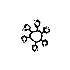 c1cncc(C2CC(c3cccnc3)CC(c3cccnc3)CC(c3cccnc3)CC(c3cccnc3)CC(c3cccnc3)C2)c1